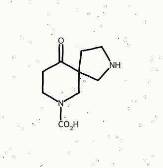 O=C(O)N1CCC(=O)C2(CCNC2)C1